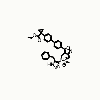 CCOC(=O)C1(c2ccc(-c3ccc(-c4onc(C)c4CN(c4nn[nH]c4Cc4ccccc4)S(C)(=O)=O)cc3)cc2)CC1